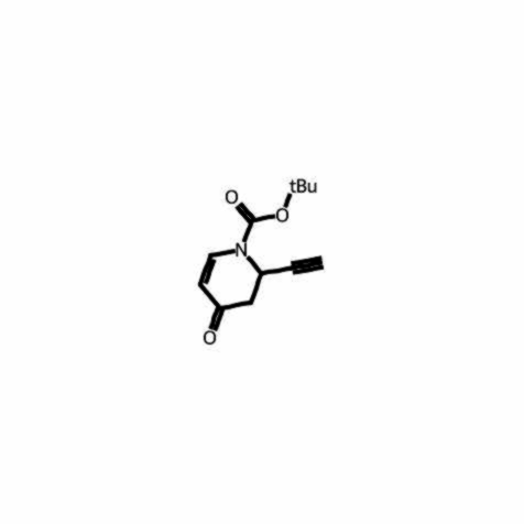 C#CC1CC(=O)C=CN1C(=O)OC(C)(C)C